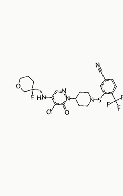 N#Cc1ccc(C(F)(F)F)c(SN2CCC(n3ncc(NC[C@@]4(F)CCCOC4)c(Cl)c3=O)CC2)c1